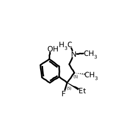 CC[C@@](F)(c1cccc(O)c1)[C@@H](C)CN(C)C